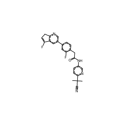 CC(C)(C#N)c1ccc(NC(=O)Cc2ccc(-c3cnc4c(c3)C(F)=CC4)cc2F)cn1